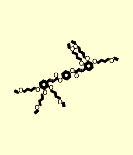 C=COCCCCOc1ccc(/C=C/C(=O)Oc2ccc(OC(=O)/C=C/c3ccc(OCCCCOC=C)c(OCCCCOC=C)c3OCCCCOC=C)cc2)c(OCCCCOC=C)c1OCCCCOC=C